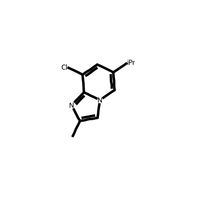 Cc1cn2cc(C(C)C)cc(Cl)c2n1